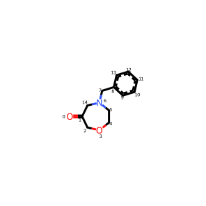 O=C1COCCN(Cc2ccccc2)C1